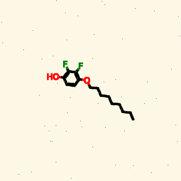 CCCCCCCCCOc1ccc(O)c(F)c1F